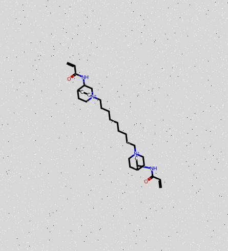 C=CC(=O)NC1C[N+]2(CCCCCCCCC[N+]34CCC(CC3)C(NC(=O)C=C)C4)CCC1CC2